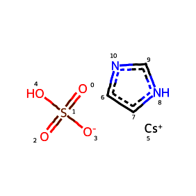 O=S(=O)([O-])O.[Cs+].c1c[nH]cn1